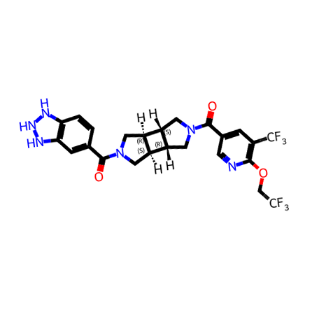 O=C(c1ccc2c(c1)NNN2)N1C[C@@H]2[C@H](C1)[C@H]1CN(C(=O)c3cnc(OCC(F)(F)F)c(C(F)(F)F)c3)C[C@@H]21